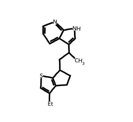 CCc1csc2c1CCC2CC(C)c1c[nH]c2ncccc12